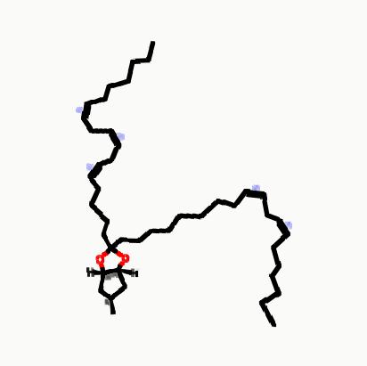 CCCCCC/C=C\C/C=C\C/C=C\CCCCC1(CCCCCCCC/C=C\C/C=C\CCCCCC)O[C@H]2C[C@H](C)C[C@H]2O1